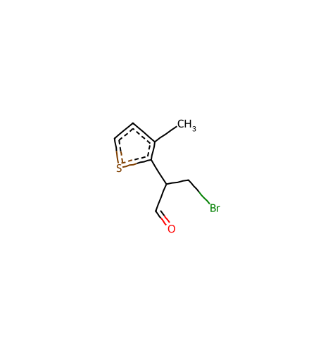 Cc1ccsc1C(C=O)CBr